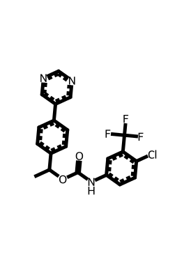 CC(OC(=O)Nc1ccc(Cl)c(C(F)(F)F)c1)c1ccc(-c2cncnc2)cc1